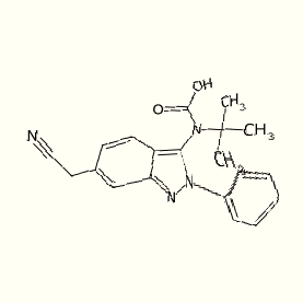 CC(C)(C)N(C(=O)O)c1c2ccc(CC#N)cc2nn1-c1ccccc1